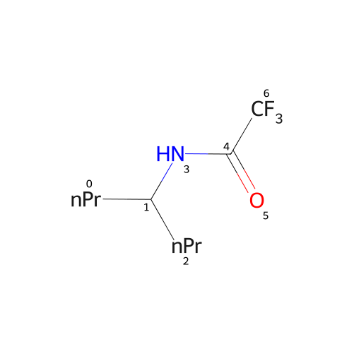 CCCC(CCC)NC(=O)C(F)(F)F